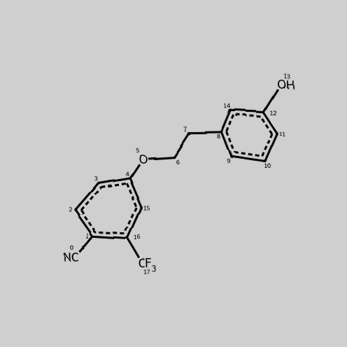 N#Cc1ccc(OCCc2cccc(O)c2)cc1C(F)(F)F